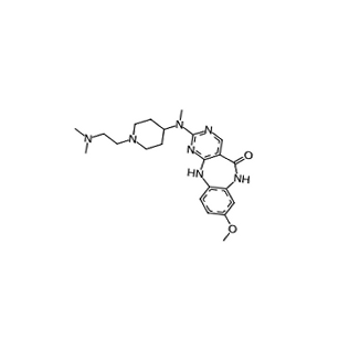 COc1ccc2c(c1)NC(=O)c1cnc(N(C)C3CCN(CCN(C)C)CC3)nc1N2